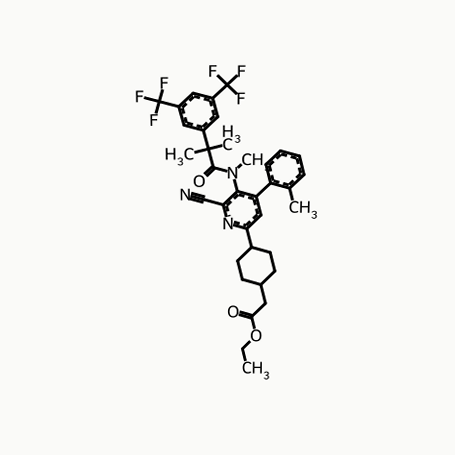 CCOC(=O)CC1CCC(c2cc(-c3ccccc3C)c(N(C)C(=O)C(C)(C)c3cc(C(F)(F)F)cc(C(F)(F)F)c3)c(C#N)n2)CC1